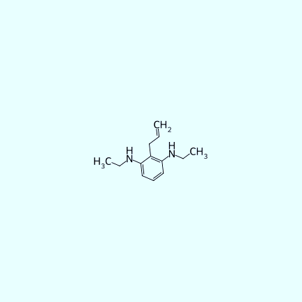 C=CCc1c(NCC)cccc1NCC